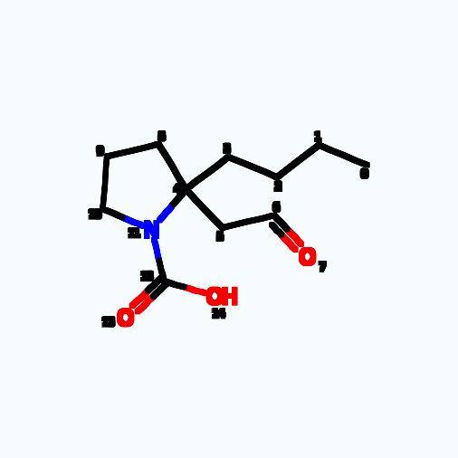 CCCCC1(CC=O)CCCN1C(=O)O